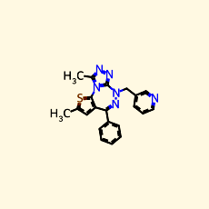 Cc1cc2c(s1)-n1c(C)nnc1N(Cc1cccnc1)N=C2c1ccccc1